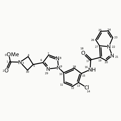 COC(=O)N1CC(c2cnn(-c3ccc(Cl)c(NC(=O)c4cnn5ccccc45)c3)n2)C1